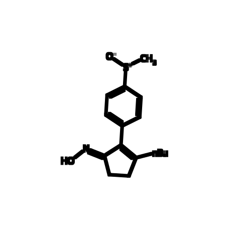 CCCCC1=C(c2ccc([S+](C)[O-])cc2)/C(=N/O)CC1